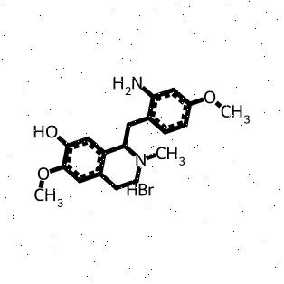 Br.COc1ccc(CC2c3cc(O)c(OC)cc3CCN2C)c(N)c1